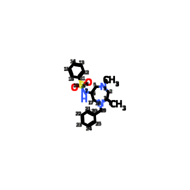 CC1CN(C)CC(NS(=O)(=O)c2ccccc2)CN1Cc1ccccc1